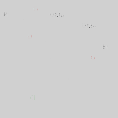 CCOc1c(OC)c(OC)c(OC(=O)C(C)C)c2cc(Cl)ccc12